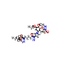 COc1cc(C=C2SC(=O)NC2=O)c(N2CC[C@H](NC(=O)CCCCNC(=O)OC(C)(C)C)C2)cc1OC